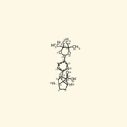 CC1(C)OB(c2cnc(N3C[C@H]4CC[C@@H](C3)[C@@H]4C(=O)O)nc2)OC1(C)C